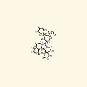 O=[N+]([O-])c1ccc(-n2c3ccc4ccccc4c3c3c4ccccc4ccc32)cc1-c1ccccc1